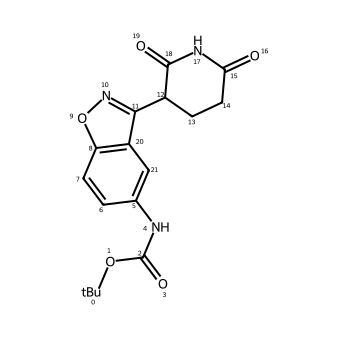 CC(C)(C)OC(=O)Nc1ccc2onc(C3CCC(=O)NC3=O)c2c1